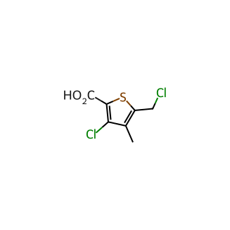 Cc1c(CCl)sc(C(=O)O)c1Cl